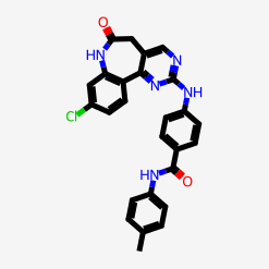 Cc1ccc(NC(=O)c2ccc(Nc3ncc4c(n3)-c3ccc(Cl)cc3NC(=O)C4)cc2)cc1